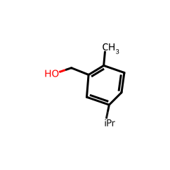 Cc1ccc(C(C)C)cc1CO